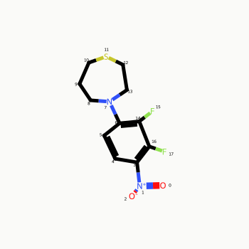 O=[N+]([O-])c1ccc(N2CCCSCC2)c(F)c1F